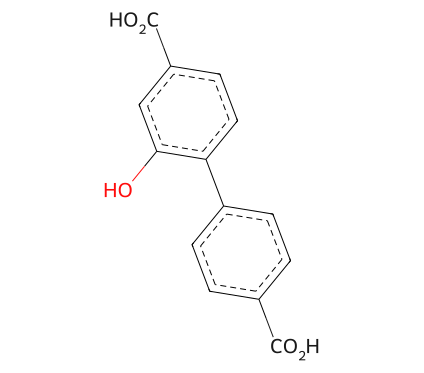 O=C(O)c1ccc(-c2ccc(C(=O)O)cc2O)cc1